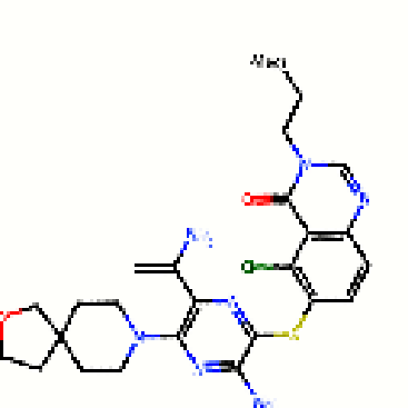 C=C(N)c1nc(Sc2ccc3ncn(CCOC)c(=O)c3c2Cl)c(N)nc1N1CCC2(CCOC2)CC1